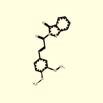 COc1ccc(C=CC(=O)n2sc3ccccc3c2=O)cc1OC